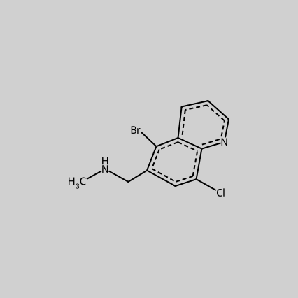 CNCc1cc(Cl)c2ncccc2c1Br